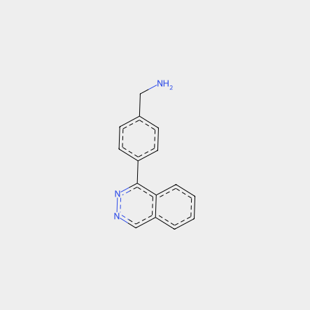 NCc1ccc(-c2nncc3ccccc23)cc1